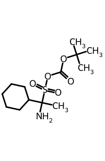 CC(C)(C)OC(=O)OS(=O)(=O)C(C)(N)C1CCCCC1